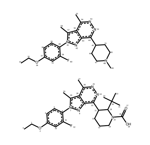 CCOc1ccc(-n2nc3c(C4CCCN(C(=O)O)C4C(C)(C)C)nnc(C)c3c2C)c(F)c1.CCOc1ccc(-n2nc3c(C4CCN(C)CC4)nnc(C)c3c2C)c(F)c1